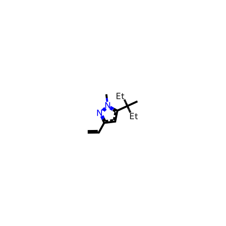 C=Cc1cc(C(C)(CC)CC)n(C)n1